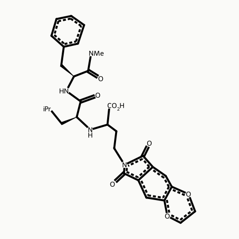 CNC(=O)[C@H](Cc1ccccc1)NC(=O)[C@H](CC(C)C)NC(CCn1c(=O)c2cc3occoc3cc2c1=O)C(=O)O